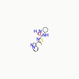 Cc1sc(C(=O)NC2CCCC[C@H]2N)nc1-c1cnn2ccccc12